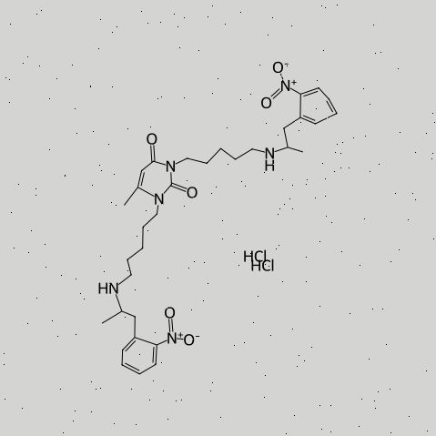 Cc1cc(=O)n(CCCCCNC(C)Cc2ccccc2[N+](=O)[O-])c(=O)n1CCCCCNC(C)Cc1ccccc1[N+](=O)[O-].Cl.Cl